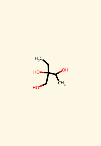 CCC(O)(CO)C(C)O